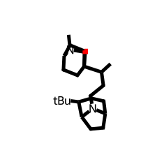 CC(CCN1C2CCC1C(C(C)(C)C)CC2)C12CCC(CC1)N(C)C2